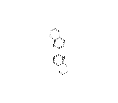 [c]1cc2ccccc2nc1-c1ccc2ccccc2n1